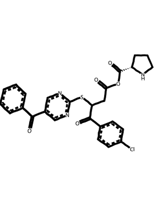 O=C(CC(Sc1ncc(C(=O)c2ccccc2)cn1)C(=O)c1ccc(Cl)cc1)OC(=O)[C@@H]1CCCN1